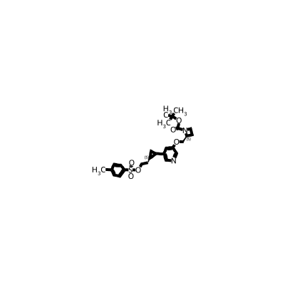 Cc1ccc(S(=O)(=O)OCC[C@@H]2CC2c2cncc(OC[C@@H]3CCN3C(=O)OC(C)(C)C)c2)cc1